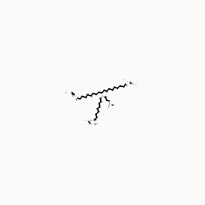 CCCCC(CCCC)OC(=O)CCCCCCCCC(CCCCCCCCC(=O)OC(CCCC)CCCC)N(CCCCCCCCC(=O)OC(CCCC)CCCC)CCCN(C)C